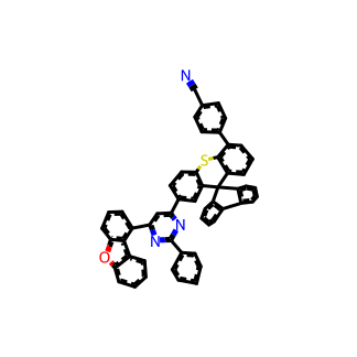 N#Cc1ccc(-c2cccc3c2Sc2ccc(-c4cc(-c5cccc6oc7ccccc7c56)nc(-c5ccccc5)n4)cc2C32c3ccccc3-c3ccccc32)cc1